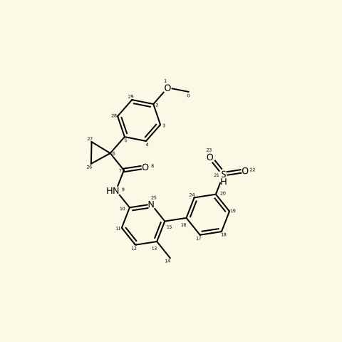 COc1ccc(C2(C(=O)Nc3ccc(C)c(-c4cccc([SH](=O)=O)c4)n3)CC2)cc1